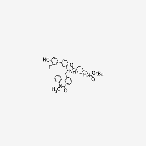 CN(C(=O)c1cccc(CC(NC(=O)C2CCC(CNC(=O)OC(C)(C)C)CC2)c2cccc(-c3ccc(C#N)c(F)c3)c2)c1)c1ccccc1